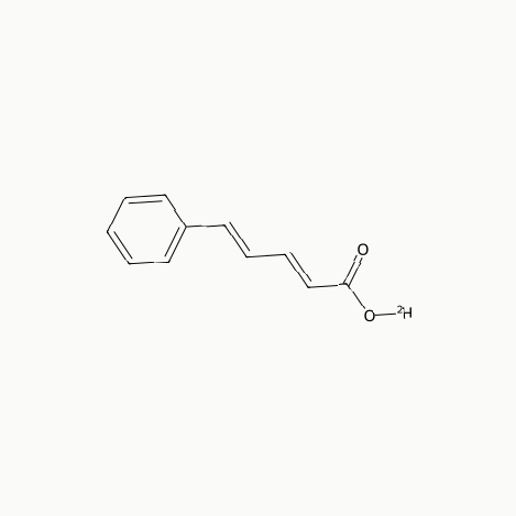 [2H]OC(=O)C=CC=Cc1ccccc1